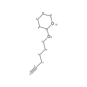 C#CCCCCOC1CCCCO1